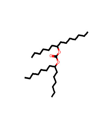 CCCCCCCC(CCCCCC)OC(=O)OC(CCCCCC)CCCCCCC